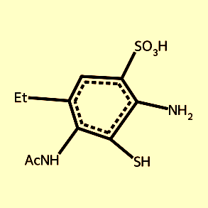 CCc1cc(S(=O)(=O)O)c(N)c(S)c1NC(C)=O